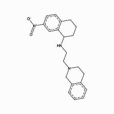 O=[N+]([O-])c1ccc2c(c1)C(NCCN1CCc3ccccc3C1)CCC2